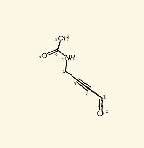 O=CC#CCNC(=O)O